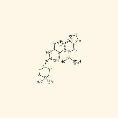 CC(C)CC(NC(=O)OC1CCC(C)(C)CC1)C(=O)NC(C[C@@H]1CCNC1=O)C(O)S(=O)(=O)O